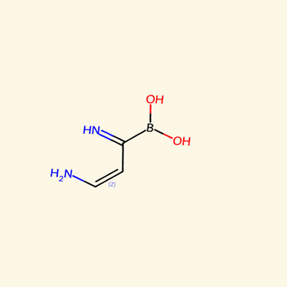 N=C(/C=C\N)B(O)O